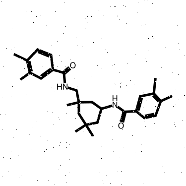 Cc1ccc(C(=O)NCC2(C)CC(NC(=O)c3ccc(C)c(C)c3)CC(C)(C)C2)cc1C